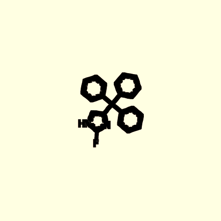 Fc1nc(C(c2ccccc2)(c2ccccc2)c2ccccc2)c[nH]1